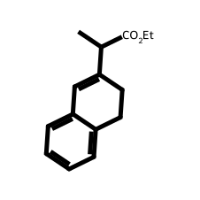 CCOC(=O)C(C)C1=Cc2ccccc2CC1